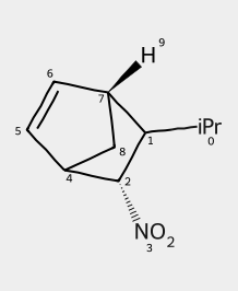 CC(C)C1[C@H]([N+](=O)[O-])C2C=C[C@H]1C2